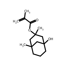 C=C(C)C(=O)OC1(C)CC2(C)CCCC(O)(C2)C1